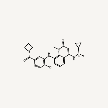 C[C@@H](Nc1cc(=O)n(C)c2c(Nc3cc(C(=O)N4CCC4)ncc3Cl)cccc12)C1CC1